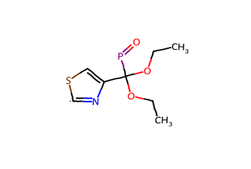 CCOC(OCC)(P=O)c1cs[c]n1